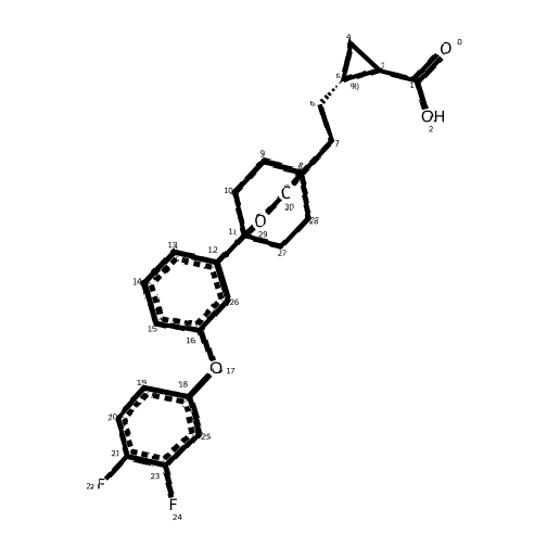 O=C(O)C1C[C@H]1CCC12CCC(c3cccc(Oc4ccc(F)c(F)c4)c3)(CC1)OC2